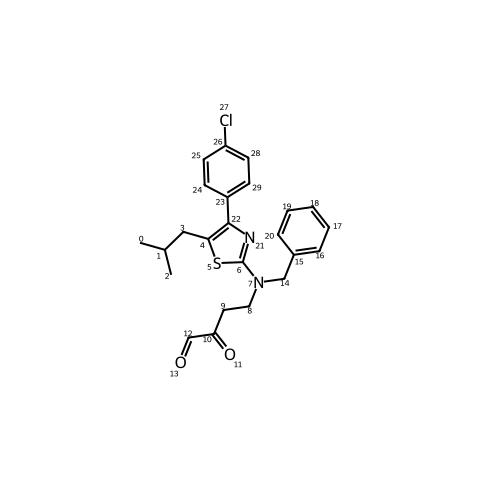 CC(C)Cc1sc(N(CCC(=O)C=O)Cc2ccccc2)nc1-c1ccc(Cl)cc1